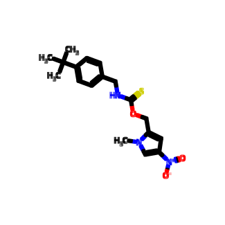 Cn1cc([N+](=O)[O-])cc1COC(=S)NCc1ccc(C(C)(C)C)cc1